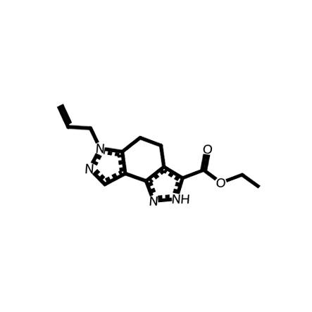 C=CCn1ncc2c1CCc1c-2n[nH]c1C(=O)OCC